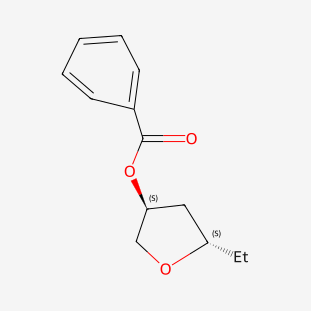 CC[C@H]1C[C@H](OC(=O)c2ccccc2)CO1